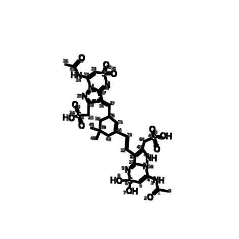 CC(=O)NC1=CS(O)(O)N=C2C(/C=C/C3=CC(/C=c4\c(CS(=O)(=O)O)nn5c4=NS(=O)(=O)C=C5NC(C)=O)CC(C)(C)C3)=C(CS(=O)(=O)O)NN12